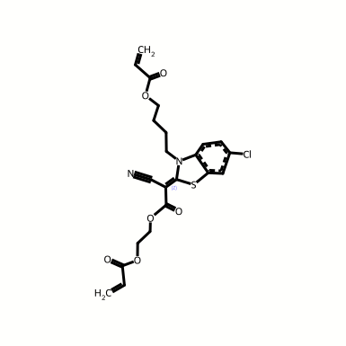 C=CC(=O)OCCCCN1/C(=C(\C#N)C(=O)OCCOC(=O)C=C)Sc2cc(Cl)ccc21